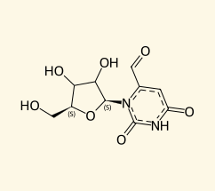 O=Cc1cc(=O)[nH]c(=O)n1[C@H]1O[C@@H](CO)C(O)C1O